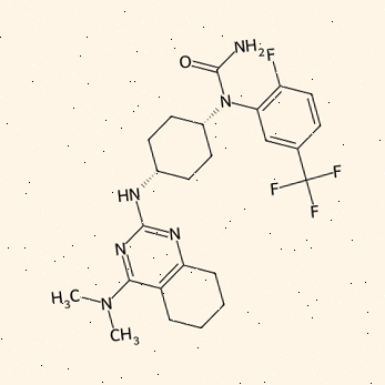 CN(C)c1nc(N[C@H]2CC[C@@H](N(C(N)=O)c3cc(C(F)(F)F)ccc3F)CC2)nc2c1CCCC2